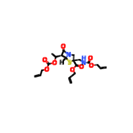 C=CCOC(=O)NCC1(C(=O)OCC=C)CN2C(=O)[C@H](C(C)OC(=O)OCC=C)[C@H]2S1